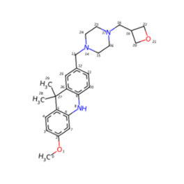 COc1ccc2c(c1)Nc1ccc(CN3CCN(CC4COC4)CC3)cc1C2(C)C